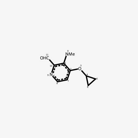 CNc1c(OC2CC2)ccnc1C=O